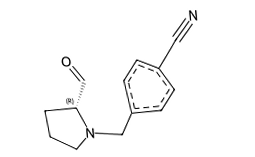 N#Cc1ccc(CN2CCC[C@@H]2C=O)cc1